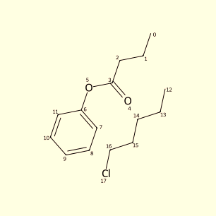 CCCC(=O)Oc1ccccc1.CCCCCCl